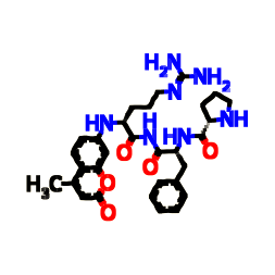 Cc1cc(=O)oc2cc(N[C@@H](CCCN=C(N)N)C(=O)NC(=O)[C@H](Cc3ccccc3)NC(=O)[C@@H]3CCCN3)ccc12